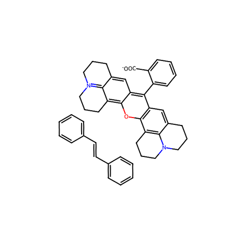 C(=Cc1ccccc1)c1ccccc1.O=C([O-])c1ccccc1C1=c2cc3c4c(c2Oc2c1cc1c5c2CCCN5CCC1)CCC[N+]=4CCC3